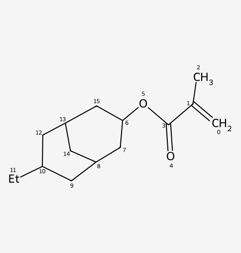 C=C(C)C(=O)OC1CC2CC(CC)CC(C2)C1